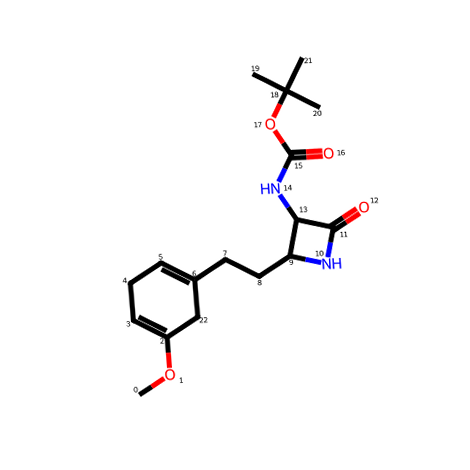 COC1=CCC=C(CCC2NC(=O)C2NC(=O)OC(C)(C)C)C1